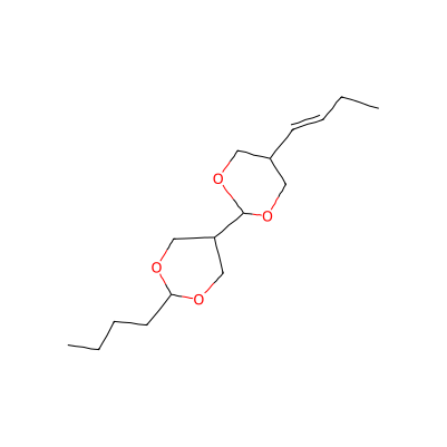 CCC=CC1COC(C2COC(CCCC)OC2)OC1